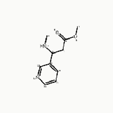 CNC(CC(=O)OC)c1cccnc1